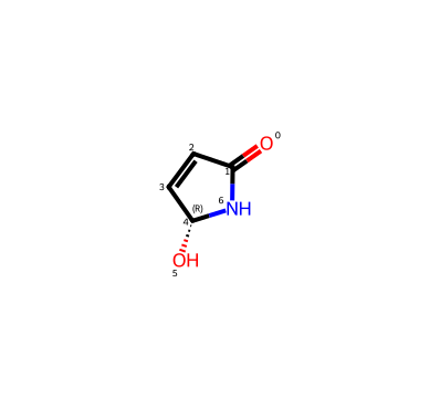 O=C1C=C[C@@H](O)N1